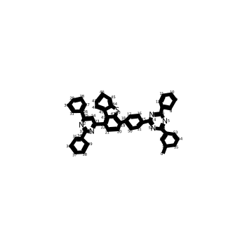 CC1C=C(c2nc(-c3ccccc3)nc(-c3ccc(-c4ccc(-c5cc(-c6ccccc6)nc(-c6ccccc6)n5)c5c4sc4ccccc45)cc3)n2)C=CC1